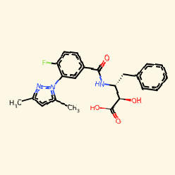 Cc1cc(C)n(-c2cc(C(=O)N[C@H](Cc3ccccc3)[C@@H](O)C(=O)O)ccc2F)n1